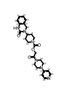 O=C(COC(=O)N1CCC(N2Cc3ccccc3NC2=O)CC1)N1CCN(c2ccncc2)CC1